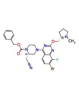 CN1CCC[C@H]1COc1nc(N2CCN(C(=O)OCc3ccccc3)[C@@H](CC#N)C2)c2ccc(Br)c(F)c2n1